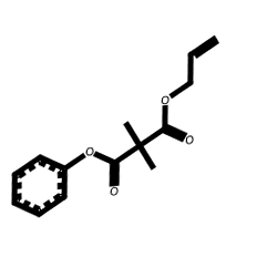 C=CCOC(=O)C(C)(C)C(=O)Oc1ccccc1